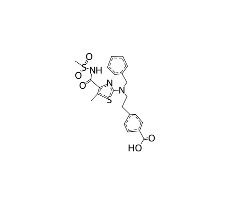 Cc1sc(N(CCc2ccc(C(=O)O)cc2)Cc2ccccc2)nc1C(=O)NS(C)(=O)=O